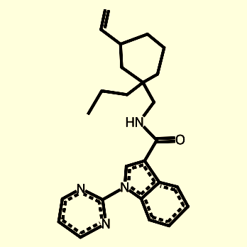 C=CC1CCCC(CCC)(CNC(=O)c2cn(-c3ncccn3)c3ccccc23)C1